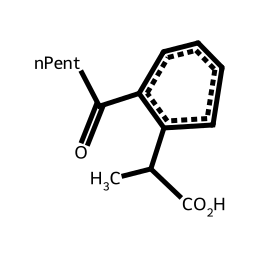 CCCCCC(=O)c1ccccc1C(C)C(=O)O